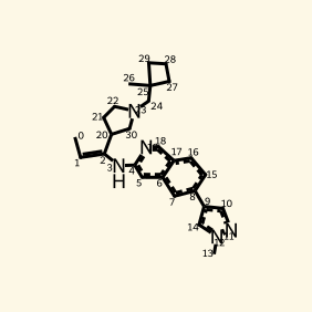 C/C=C(/Nc1cc2cc(-c3cnn(C)c3)ccc2cn1)C1CCN(CC2(C)CCC2)C1